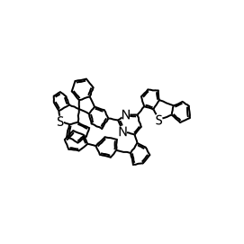 c1ccc(-c2ccc(-c3ccccc3-c3cc(-c4cccc5c4sc4ccccc45)nc(-c4ccc5c(c4)-c4ccccc4C54c5ccccc5Sc5ccccc54)n3)cc2)cc1